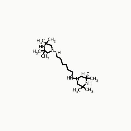 CC1(C)CN(NCCCCCCNN2CC(C)(C)NC(C)(C)C2)CC(C)(C)N1